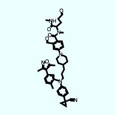 CNC(=O)C(CCC=O)N(C)C(=O)c1ccc(N2CCC(CCCN(c3ccc(C4(C#N)CC4)cc3)c3cc(-c4c(C)noc4C)ccc3C)CC2)cc1C=O